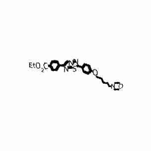 CCOC(=O)c1ccc(-c2cn3nc(-c4ccc(OCCCCCN5CCOCC5)cc4)sc3n2)cc1